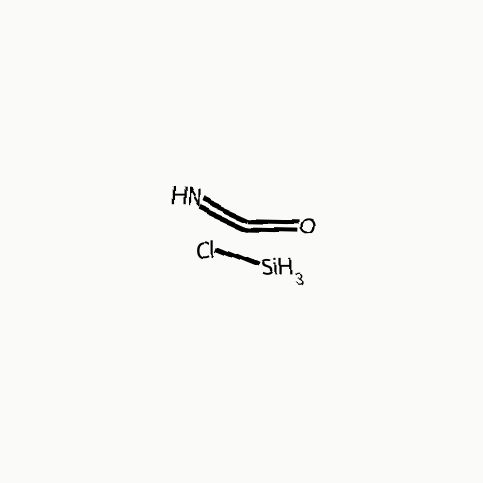 N=C=O.[SiH3]Cl